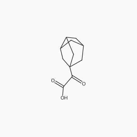 O=C(O)C(=O)C12CC3CC(C1)C(C3)C2